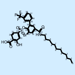 CCCCCCCCCCCCNC(=O)c1cc(Br)c(OS(=O)(=O)c2ccc(C(=O)O)c(O)c2)c(-c2cccc(C(F)(F)F)c2)c1